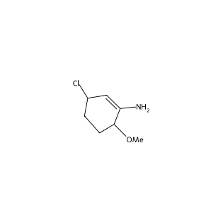 COC1CCC(Cl)C=C1N